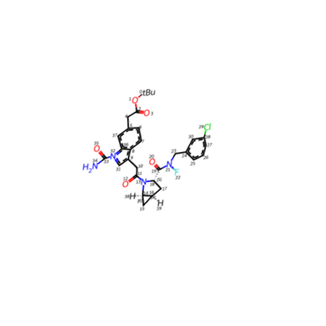 CC(C)(C)OC(=O)Cc1ccc2c(CC(=O)N3[C@@H]4C[C@@H]4C[C@H]3C(=O)N(F)Cc3cccc(Cl)c3)cn(C(N)=O)c2c1